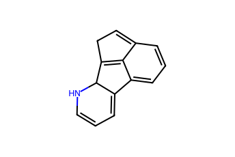 C1=CNC2C(=C1)c1cccc3c1=C2CC=3